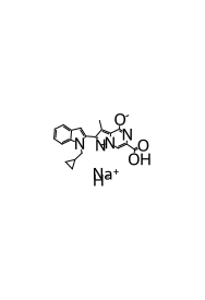 COc1nc(C(=O)O)cn2nc(-c3cc4ccccc4n3CC3CC3)c(C)c12.[H-].[Na+]